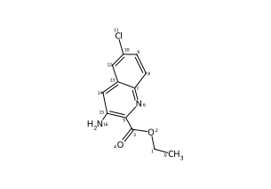 CCOC(=O)c1nc2ccc(Cl)cc2cc1N